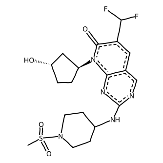 CS(=O)(=O)N1CCC(Nc2ncc3cc(C(F)F)c(=O)n([C@H]4CC[C@H](O)C4)c3n2)CC1